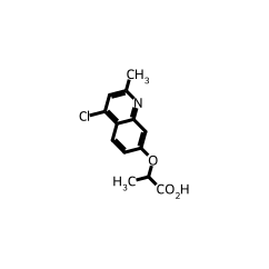 Cc1cc(Cl)c2ccc(OC(C)C(=O)O)cc2n1